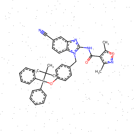 Cc1noc(C)c1C(=O)Nc1nc2cc(C#N)ccc2n1Cc1ccc(O[Si](c2ccccc2)(c2ccccc2)C(C)(C)C)cc1